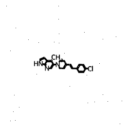 Cc1c(N2CC=C(C=Cc3ccc(Cl)cc3)CC2)cnc2[nH]ccc12